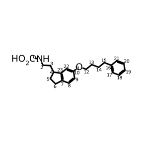 O=C(O)NCCC1CCc2ccc(OCCCCc3ccccc3)cc21